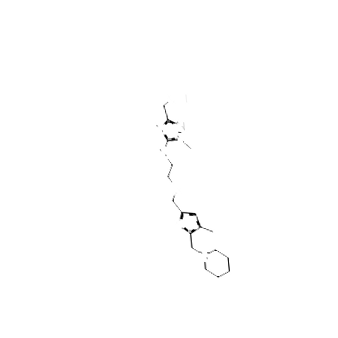 Cc1cc(CSCCNc2nc(CO)nn2C)sc1CN1CCCCC1